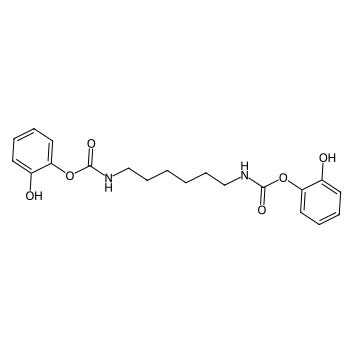 O=C(NCCCCCCNC(=O)Oc1ccccc1O)Oc1ccccc1O